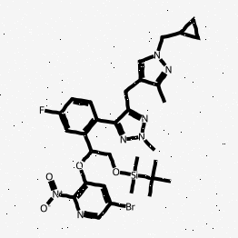 Cc1nn(CC2CC2)cc1Cc1nn(C)nc1-c1ccc(F)cc1C(CO[Si](C)(C)C(C)(C)C)Oc1cc(Br)cnc1[N+](=O)[O-]